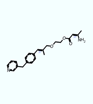 C/C(N)=C/C(=O)OCCOC/C(C)=C/c1ccc(Cc2cccnc2)cc1